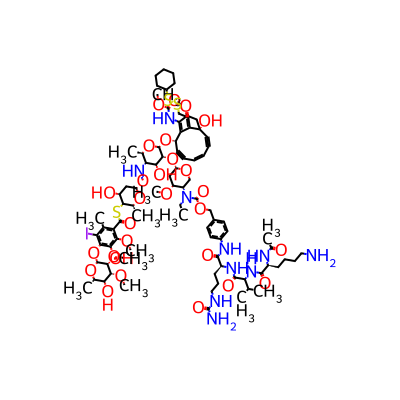 CCN(C(=O)OCc1ccc(NC(=O)[C@H](CCCNC(N)=O)NC(=O)[C@@H](NC(=O)[C@H](CCCCN)NC(C)=O)C(C)C)cc1)[C@H]1CO[C@@H](O[C@H]2[C@H](O[C@H]3C#CC=CC#C[C@]4(O)CC(=O)C(NC(=O)OC)=C3/C4=C\CSSC3CCCCC3)O[C@H](C)[C@@H](NO[C@H]3C[C@H](O)[C@H](SC(=O)c4c(C)c(I)c(O[C@@H]5O[C@@H](C)[C@H](O)[C@@H](OC)[C@H]5O)c(OC)c4OC)[C@@H](C)O3)[C@@H]2O)C[C@@H]1OC